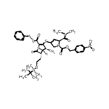 C[C@@H]1C(SC2CC(C(=O)N(C)C)N(C(=O)OCc3ccc([N+](=O)[O-])cc3)C2)=C(C(=O)OSc2ccccc2)N2C(=O)[C@@H](CCO[Si](C)(C)C(C)(C)C)[C@@H]12